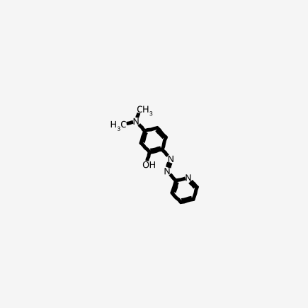 CN(C)c1ccc(/N=N/c2ccccn2)c(O)c1